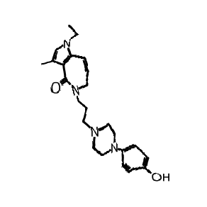 CCn1cc(C)c2c1C=CCN(CCCN1CCN(c3ccc(O)cc3)CC1)C2=O